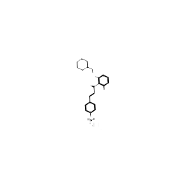 NS(=O)(=O)c1ccc(C=CC(=O)c2c(O)cccc2OCC2CCCCC2)cc1